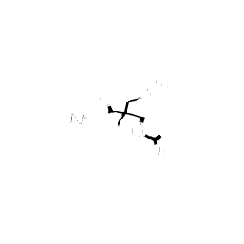 CCC(C)OCC(C)(COC(=O)C(C)CC)C(=O)OC